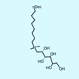 CCCCCCCCCCCCCCCCCC[N+](C)(C)C[C@H](O)[C@@H](O)[C@H](O)[C@H](O)CO